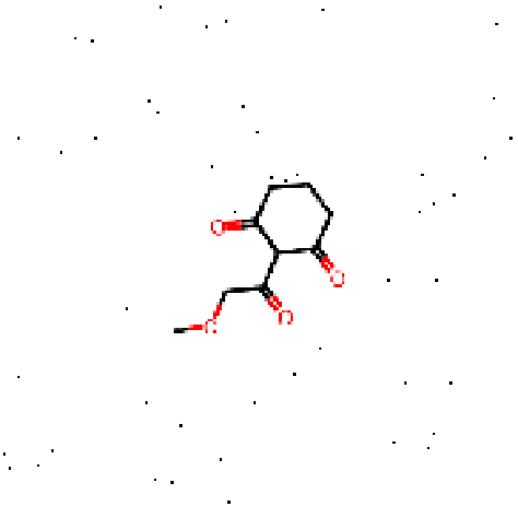 COCC(=O)C1C(=O)CCCC1=O